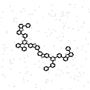 c1ccc(-c2cccc(-c3nc(-c4cccc(-c5cccc6c5sc5c(-c7ccccc7)cccc56)c4)nc(-c4ccc5c(c4)oc4ccc(-c6ccc7oc8cc(-c9nc(-c%10cccc(-c%11cccc%12c%11sc%11c(-c%13ccccc%13)cccc%11%12)c%10)nc(-c%10ccccc%10-c%10ccccc%10)n9)ccc8c7c6)cc45)n3)c2)cc1